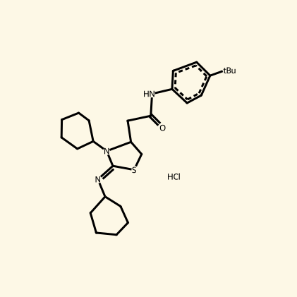 CC(C)(C)c1ccc(NC(=O)CC2CSC(=NC3CCCCC3)N2C2CCCCC2)cc1.Cl